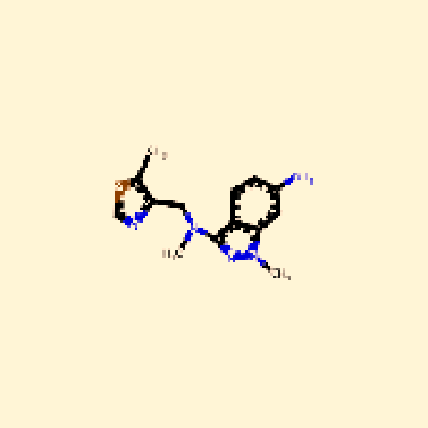 Cc1scnc1CN(C)c1nn(C)c2cc(N)ccc12